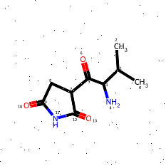 CC(C)C(N)C(=O)C1CC(=O)NC1=O